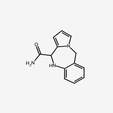 NC(=O)C1Nc2ccccc2Cn2cccc21